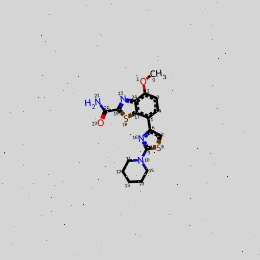 COc1ccc(-c2csc(N3CCCCC3)n2)c2sc(C(N)=O)nc12